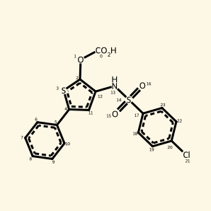 O=C(O)Oc1sc(-c2ccccc2)cc1NS(=O)(=O)c1ccc(Cl)cc1